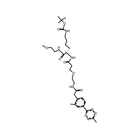 COCCNC(=O)[C@H](CCCCNC(=O)OC(C)(C)C)NC(=O)CCOCCNC(=O)Cc1ccc(-c2nnc(C)nn2)cc1C